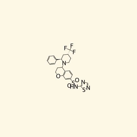 O=S(=O)(Nc1ncns1)c1ccc2c(c1)OCCC2N1CC[C@@H](C(F)(F)F)C[C@@H]1c1ccccc1